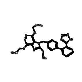 COCOc1nnc(OCOC)c2c1nc(CC(C)(C)C)n2Cc1ccc(-c2ccccc2-c2nnn[nH]2)cc1